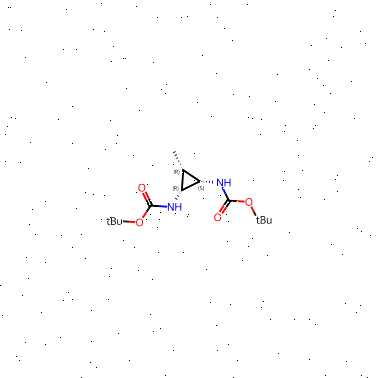 C[C@H]1[C@@H](NC(=O)OC(C)(C)C)[C@H]1NC(=O)OC(C)(C)C